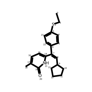 CCSc1ccc(/C(=C/C2CCCC2)c2ccc(C)c(=O)[nH]2)cc1